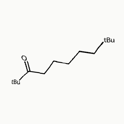 CC(C)(C)CCCCCC(=O)C(C)(C)C